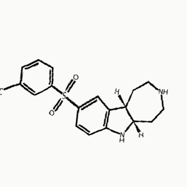 Cc1cccc(S(=O)(=O)c2ccc3c(c2)[C@@H]2CCNCC[C@@H]2N3)c1